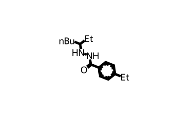 CCCCC(CC)NNC(=O)c1ccc(CC)cc1